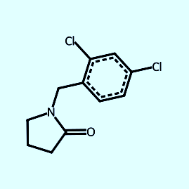 O=C1CCCN1Cc1ccc(Cl)cc1Cl